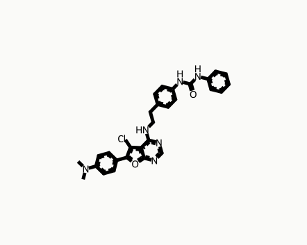 CN(C)c1ccc(-c2oc3ncnc(NCCc4ccc(NC(=O)Nc5ccccc5)cc4)c3c2Cl)cc1